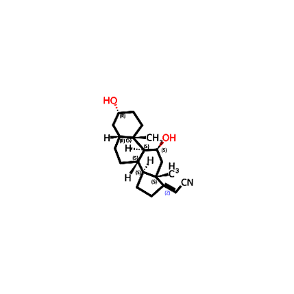 C[C@]12CC[C@@H](O)C[C@H]1CC[C@@H]1[C@@H]2[C@@H](O)C[C@]2(C)/C(=C\C#N)CC[C@@H]12